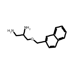 NCC(N)COCc1ccc2ccccc2c1